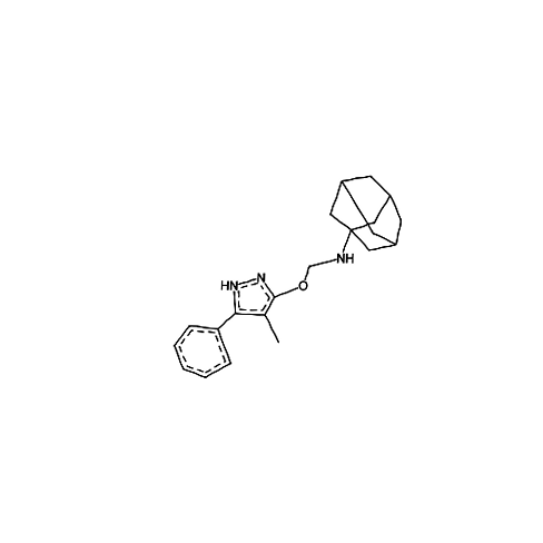 Cc1c(OCNC23CC4CC(CC(C4)C2)C3)n[nH]c1-c1ccccc1